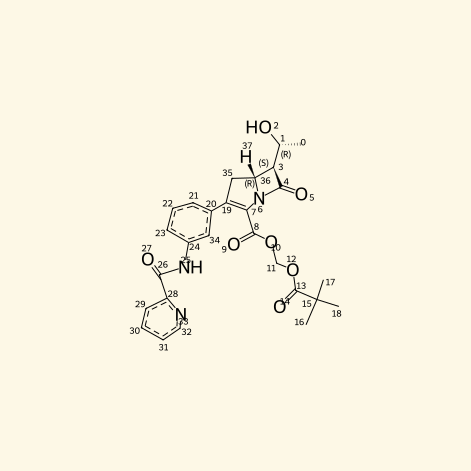 C[C@@H](O)[C@H]1C(=O)N2C(C(=O)OCOC(=O)C(C)(C)C)=C(c3cccc(NC(=O)c4ccccn4)c3)C[C@H]12